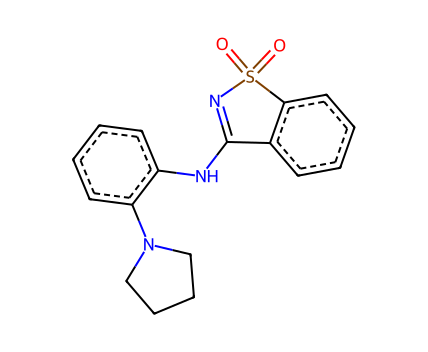 O=S1(=O)N=C(Nc2ccccc2N2CCCC2)c2ccccc21